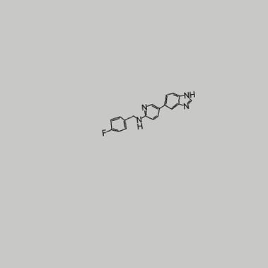 Fc1ccc(CNc2ccc(-c3ccc4[nH]cnc4c3)cn2)cc1